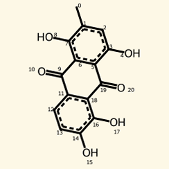 Cc1cc(O)c2c(c1O)C(=O)c1ccc(O)c(O)c1C2=O